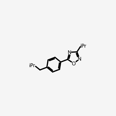 CC(C)Cc1ccc(-c2nc(C(C)C)no2)cc1